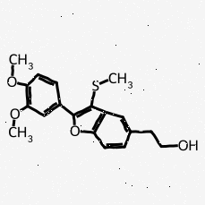 COc1ccc(-c2oc3ccc(CCO)cc3c2SC)cc1OC